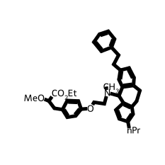 CCCc1ccc2c(c1)CCc1ccc(CCc3ccccc3)cc1C2N(C)CCOc1ccc(CC(OC)C(=O)OCC)cc1